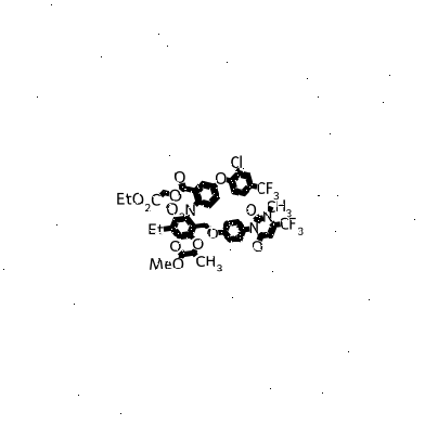 CCOC(=O)COC(=O)c1cc(Oc2ccc(C(F)(F)F)cc2Cl)ccc1[N+](=O)[O-].CCc1ccc(COc2ccc(-n3c(=O)cc(C(F)(F)F)n(C)c3=O)cc2)c(OC(C)C(=O)OC)c1